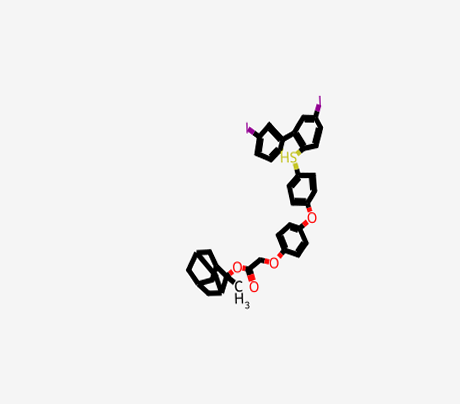 CC1(OC(=O)COc2ccc(Oc3ccc([SH]4c5ccc(I)cc5-c5cc(I)ccc54)cc3)cc2)C2CC3CC(C2)CC1C3